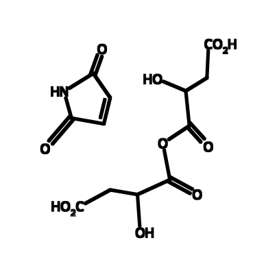 O=C(O)CC(O)C(=O)OC(=O)C(O)CC(=O)O.O=C1C=CC(=O)N1